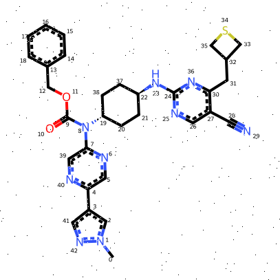 Cn1cc(-c2cnc(N(C(=O)OCc3ccccc3)[C@H]3CC[C@H](Nc4ncc(C#N)c(CC5CSC5)n4)CC3)cn2)cn1